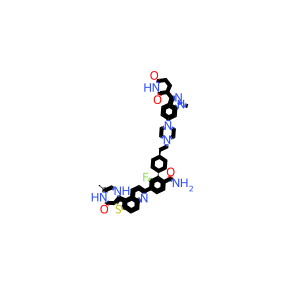 C[C@@H]1CNc2c(sc3ccc4nc(-c5ccc(C(N)=O)c([C@H]6CC[C@H](CCN7CCN(c8ccc9c(C%10CCC(=O)NC%10=O)nn(C)c9c8)CC7)CC6)c5F)ccc4c23)C(=O)N1